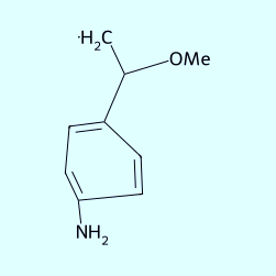 [CH2]C(OC)c1ccc(N)cc1